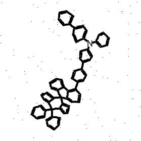 c1ccc(-c2ccc(N(c3ccccc3)c3ccc(-c4ccc(-c5cccc6c5-c5ccccc5C65c6ccccc6C(c6ccccc6)(c6ccccc6)c6ccccc65)cc4)cc3)cc2)cc1